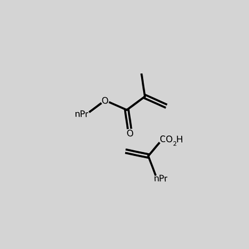 C=C(C)C(=O)OCCC.C=C(CCC)C(=O)O